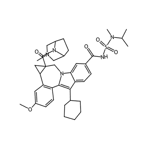 COc1ccc2c(c1)C1CC1(C(=O)N1C3CCC1CN(C)C3)Cn1c-2c(C2CCCCC2)c2ccc(C(=O)NS(=O)(=O)N(C)C(C)C)cc21